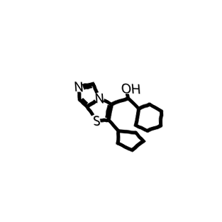 OC(c1c(C2CCCC2)sc2cncn12)C1CCCCC1